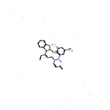 C=C/C=C\C(C/C=C(/C=C)C1c2ccccc2CC1NC)N(C)c1cc(C(F)(F)F)cc(C(F)(F)F)c1